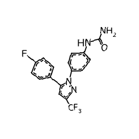 NC(=O)Nc1ccc(-n2nc(C(F)(F)F)cc2-c2ccc(F)cc2)cc1